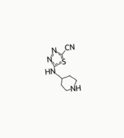 N#Cc1nnc(NC2CCNCC2)s1